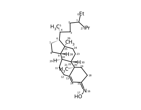 CCC(CC[C@@H](C)[C@H]1CC[C@H]2[C@@H]3CCC4=CC(=NO)CC[C@]4(C)[C@H]3CC[C@]12C)C(C)C